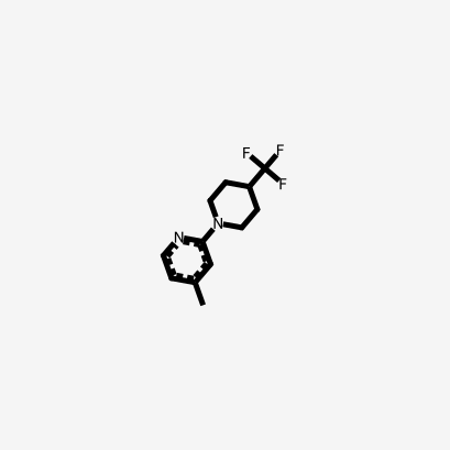 Cc1ccnc(N2CCC(C(F)(F)F)CC2)c1